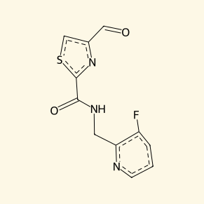 O=Cc1csc(C(=O)NCc2ncccc2F)n1